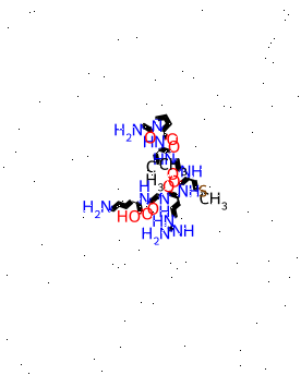 CSCC[C@H](NC(=O)CNC(=O)[C@H](CC(C)C)NC(=O)[C@@H]1CCCN1C(=O)CN)C(=O)N[C@@H](CCCNC(=N)N)C(=O)NCC(=O)N[C@@H](CCCCN)C(=O)O